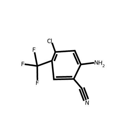 N#Cc1cc(C(F)(F)F)c(Cl)cc1N